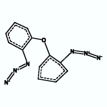 [N-]=[N+]=Nc1ccccc1Oc1ccccc1N=[N+]=[N-]